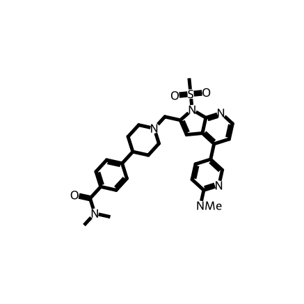 CNc1ccc(-c2ccnc3c2cc(CN2CCC(c4ccc(C(=O)N(C)C)cc4)CC2)n3S(C)(=O)=O)cn1